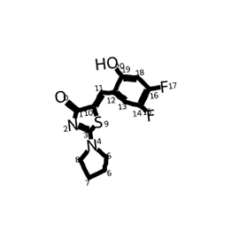 O=C1N=C(N2CCCC2)S/C1=C\c1cc(F)c(F)cc1O